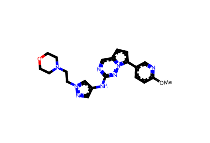 COc1ccc(-c2ccc3cnc(Nc4cnn(CCN5CCOCC5)c4)nn23)cn1